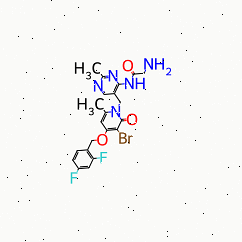 Cc1ncc(Cn2c(C)cc(OCc3ccc(F)cc3F)c(Br)c2=O)c(NC(=O)CN)n1